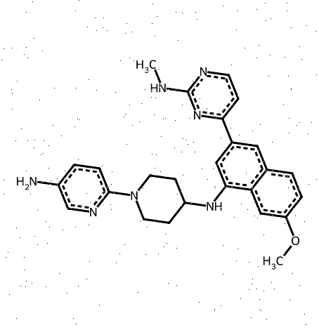 CNc1nccc(-c2cc(NC3CCN(c4ccc(N)cn4)CC3)c3cc(OC)ccc3c2)n1